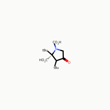 CC(C)(C)C1C(=O)CN(C(=O)O)[C@]1(C(=O)O)C(C)(C)C